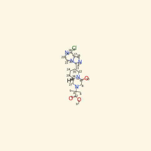 COC(=O)C(C)(C)N1CC(=O)N2C[C@@H](c3ncc4c(Cl)nccn34)CC[C@@H]2C1